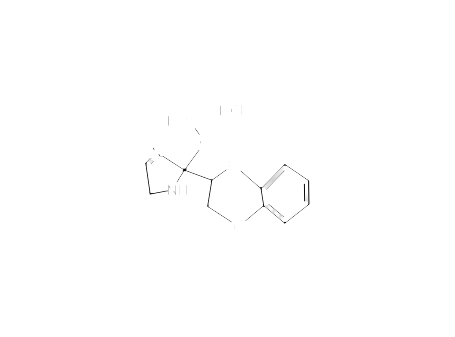 COC1(C2COc3ccccc3O2)N=CCN1.Cl